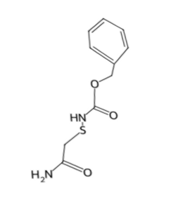 NC(=O)CSNC(=O)OCc1ccccc1